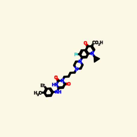 CCc1cc(Nc2cc(=O)n(CCCCN3CCN(c4cc5c(cc4F)c(=O)c(C(=O)O)cn5C4CC4)CC3)c(=O)[nH]2)ccc1C